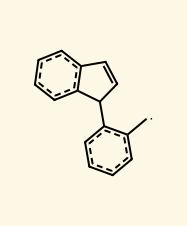 [CH2]c1ccccc1C1C=Cc2ccccc21